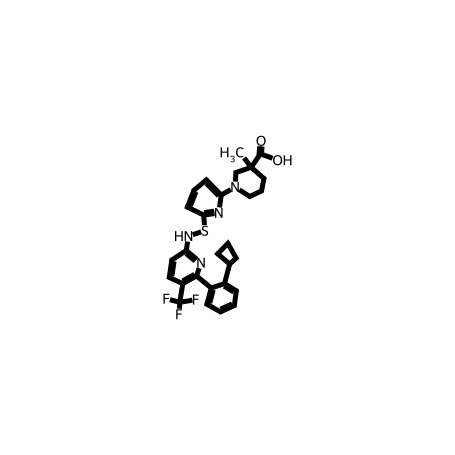 CC1(C(=O)O)CCCN(c2cccc(SNc3ccc(C(F)(F)F)c(-c4ccccc4C4CCC4)n3)n2)C1